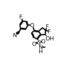 CNS(=O)(=O)c1ccc(Oc2cc(F)cc(C#N)c2)c2c1[C@H](O)C(F)(F)C2